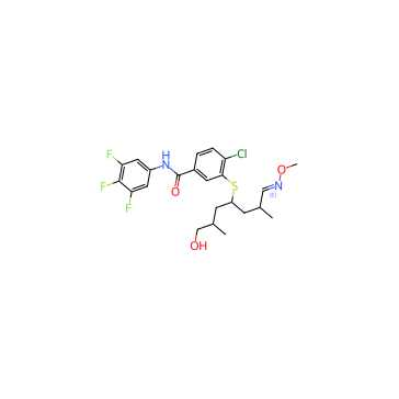 CO/N=C/C(C)CC(CC(C)CO)Sc1cc(C(=O)Nc2cc(F)c(F)c(F)c2)ccc1Cl